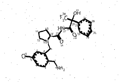 NCc1ccc(Cl)cc1CN1CCC[C@H]1C(=O)NC(=O)C(O)(c1ccccc1)C(F)(F)F